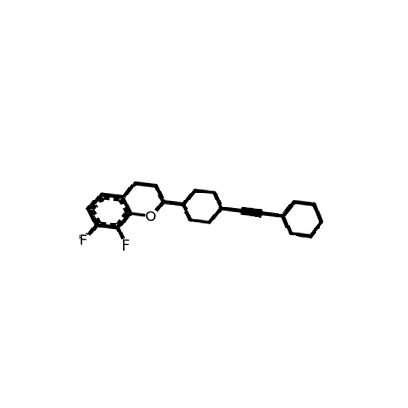 Fc1ccc2c(c1F)OC(C1CCC(C#CC3CCCCC3)CC1)CC2